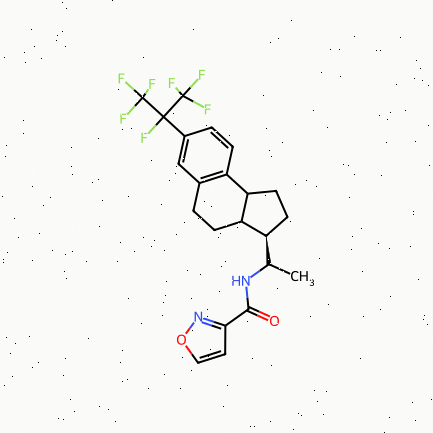 CC(NC(=O)c1ccon1)[C@@H]1CCC2c3ccc(C(F)(C(F)(F)F)C(F)(F)F)cc3CCC21